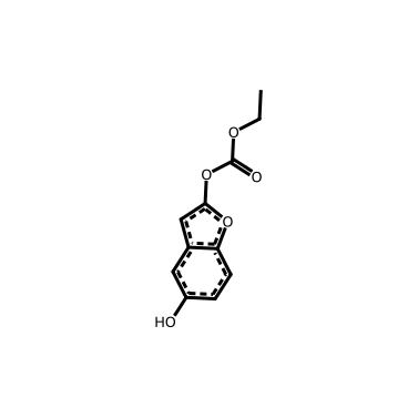 CCOC(=O)Oc1cc2cc(O)ccc2o1